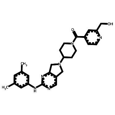 Cc1cc(C)cc(Nc2ncc3c(n2)CN(C2CCN(C(=O)c4ccnc(CO)c4)CC2)C3)c1